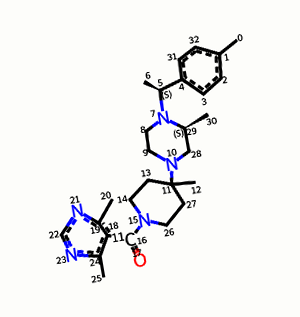 Cc1ccc([C@H](C)N2CCN(C3(C)CCN([11C](=O)c4c(C)ncnc4C)CC3)C[C@@H]2C)cc1